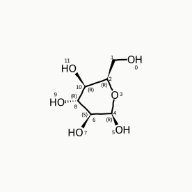 OC[C@H]1O[C@@H](O)[C@@H](O)[C@H](O)[C@H]1O